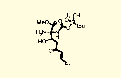 CCC=CC(=O)C[C@@H](O)[C@](N)(NC(=O)O[Si](C)(C)C(C)(C)C)C(=O)OC